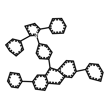 c1ccc(-c2ccc3c(-c4ccc(-n5c(-c6ccccc6)ccc5-c5ccccc5)cc4)c4cc(-c5ccccc5)ccc4cc3c2)cc1